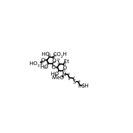 CCC1O[C@@H](N(CCCSCCS)OC)C(O)C(O[C@@H]2OC(C(=O)O)[C@@H](O)C(OS(=O)(=O)O)C2O)[C@H]1C